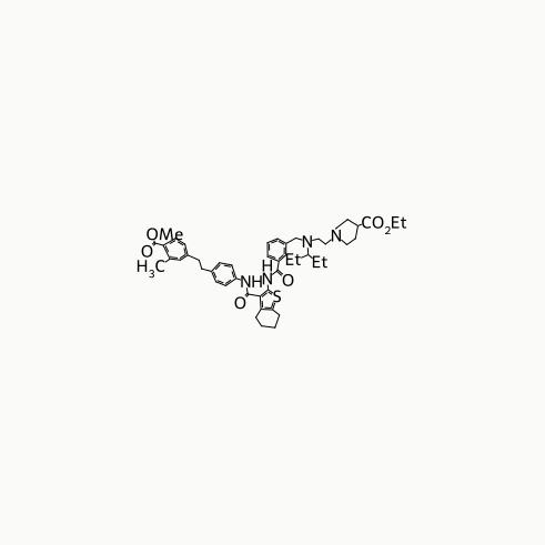 CCOC(=O)C1CCN(CCN(Cc2cccc(C(=O)Nc3sc4c(c3C(=O)Nc3ccc(CCc5ccc(C(=O)OC)c(C)c5)cc3)CCCC4)c2)C(CC)CC)CC1